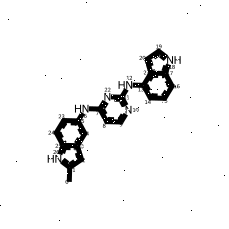 Cc1cc2cc(Nc3ccnc(Nc4cccc5[nH]ccc45)n3)ccc2[nH]1